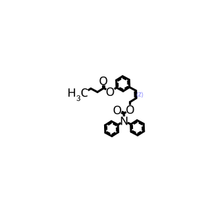 CCCC(=O)Oc1cccc(/C=C\COC(=O)N(c2ccccc2)c2ccccc2)c1